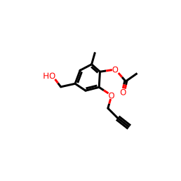 C#CCOc1cc(CO)cc(C)c1OC(C)=O